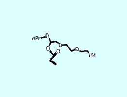 C=CC(=O)OC(COCCOCCO)OCCC